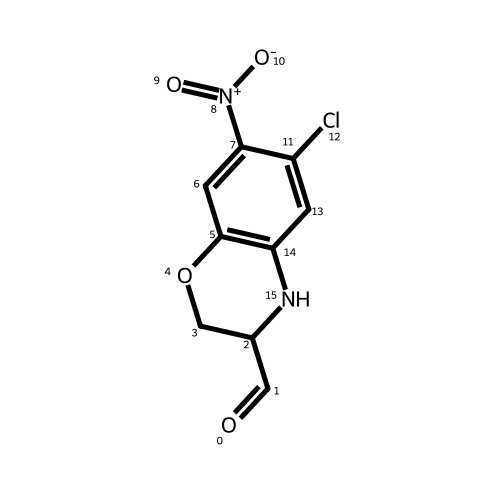 O=CC1COc2cc([N+](=O)[O-])c(Cl)cc2N1